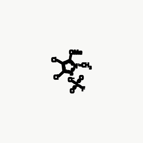 COc1c(Cl)c(Cl)s[n+]1C.O=S(=O)([O-])F